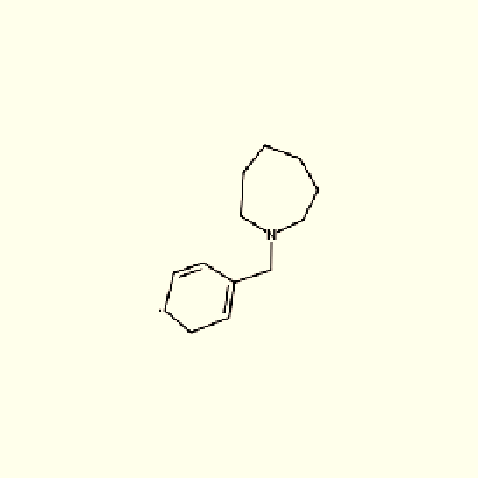 [CH]1C=CC(CN2CCCCCC2)=CC1